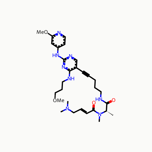 COCCCNc1nc(Nc2ccnc(OC)c2)ncc1C#CCCCNC(=O)[C@H](C)N(C)C(=O)C=CCN(C)C